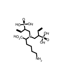 C=CC(CN(CC(C=C)P(=O)(O)O)C(CCCCN)C(=O)O)P(=O)(O)O